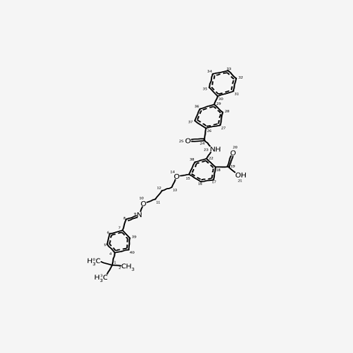 CC(C)(C)c1ccc(C=NOCCCOc2ccc(C(=O)O)c(NC(=O)c3ccc(-c4ccccc4)cc3)c2)cc1